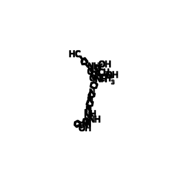 C#Cc1ccc(CNC(=O)[C@@H]2C[C@@H](O)CN2C(=O)[C@@H](NC(=O)[C@H]2CC[C@H](N3CCC(N4CCC(N5CCN6c7cc(-c8ccccc8O)nnc7NC[C@H]6C5)CC4)CC3)CC2)C(C)(C)CCO)cc1